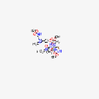 C[n+]1cc(-c2ccc(OC[C@](C)(O/N=C(\C(=O)N[C@@H]3C(=O)N(S(=O)(=O)O)C3(C)C)c3csc(NC(=O)OC(C)(C)C)n3)C(=O)OC(C)(C)C)cc2)cn1CCCNC(=O)OC(C)(C)C